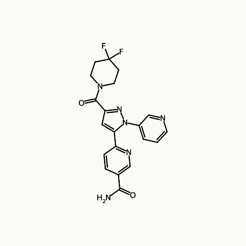 NC(=O)c1ccc(-c2cc(C(=O)N3CCC(F)(F)CC3)nn2-c2cccnc2)nc1